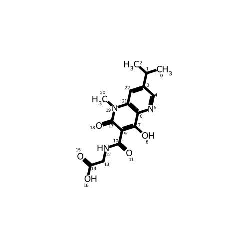 CC(C)c1cnc2c(O)c(C(=O)NCC(=O)O)c(=O)n(C)c2c1